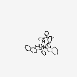 COC(=O)[C@@H]1CCCN1C(=O)[C@@H](CC1CCCCC1)NC(=O)c1ccc2ccccc2c1